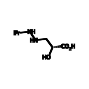 CC(C)NNC[C@@H](O)C(=O)O